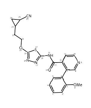 COc1ccccc1-c1cnccc1C(=O)Nc1nnc(OCCC2CC2C#N)s1